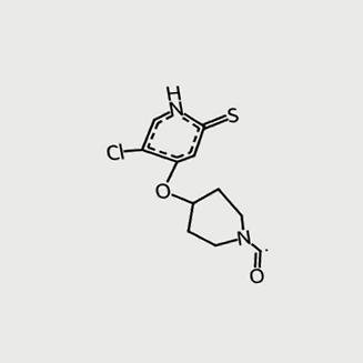 O=[C]N1CCC(Oc2cc(=S)[nH]cc2Cl)CC1